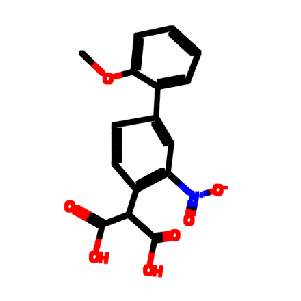 COc1ccccc1-c1ccc(C(C(=O)O)C(=O)O)c([N+](=O)[O-])c1